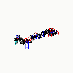 C[C@@H](C(=O)Nc1cccc(OC2CCN(C(=O)CN3CCC(N4CCN(c5ccc6c(c5)C(=O)N(C5CCC(=O)N(C)C5=O)C6=O)CC4)CC3)CC2)c1)C1CCC(c2ccnc3ccc(F)cc23)CC1